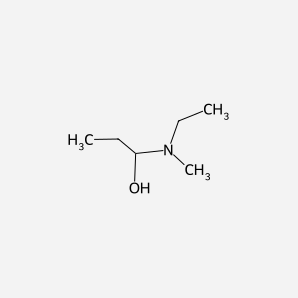 CCC(O)N(C)CC